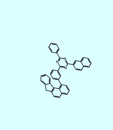 c1ccc(-c2nc(-c3cccc(-c4cccc5ccc6sc7ccccc7c6c45)c3)nc(-c3ccc4ccccc4c3)n2)cc1